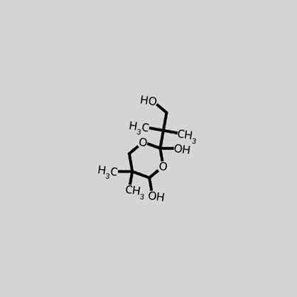 CC1(C)COC(O)(C(C)(C)CO)OC1O